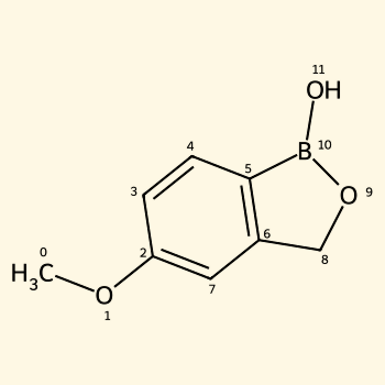 COc1ccc2c(c1)COB2O